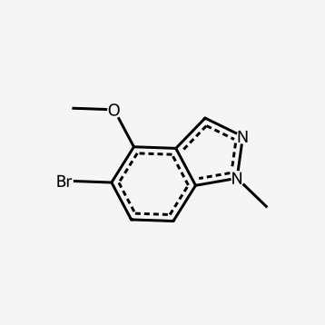 COc1c(Br)ccc2c1cnn2C